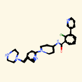 O=C(NC1CCN(c2ccc(CN3CCNCC3)cn2)CC1)c1cccc(-c2cccnc2)c1Cl